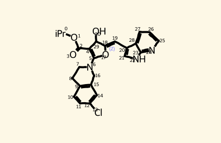 CC(C)OC(=O)C1=C(N2CCc3ccc(Cl)cc3C2)O/C(=C\c2c[nH]c3ncccc23)C1O